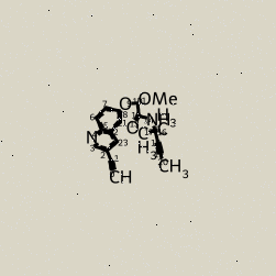 C#Cc1cnc2ccc(OC(OC)C(=O)NC(C)(C)C#CC)cc2c1